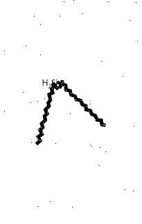 CCCCCCCCCCCCCCCCCC(C)(C)[SiH2]C(C)(C)CCCCCCCCCCCCCCCCC